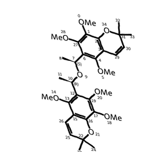 COc1c2c(c(OC)c([C@H](C)O[C@H](C)c3c(OC)c4c(c(OC)c3OC)OC(C)(C)C=C4)c1OC)C=CC(C)(C)O2